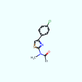 CCC(=O)N(C)c1nc(-c2ccc(Cl)cc2)cs1